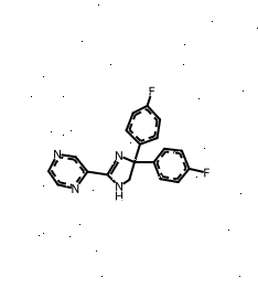 Fc1ccc(C2(c3ccc(F)cc3)CNC(c3cnccn3)=N2)cc1